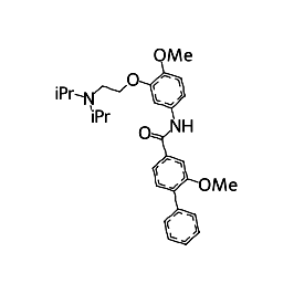 COc1ccc(NC(=O)c2ccc(-c3ccccc3)c(OC)c2)cc1OCCN(C(C)C)C(C)C